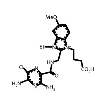 CCn1c(CNC(=O)c2nc(Cl)c(N)nc2N)[n+](CCCC(=O)O)c2ccc(OC)cc21